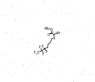 CC(C)C(SCCCCC(F)(F)C(F)(F)C(F)(F)F)C(=O)OC(C)(C)C